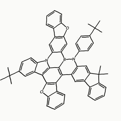 CC(C)(C)c1ccc(N2B3c4cc5oc6ccccc6c5cc4-n4c5ccc(C(C)(C)C)cc5c5c6oc7ccccc7c6c(c3c54)-c3cc4c(cc32)C(C)(C)c2ccccc2-4)cc1